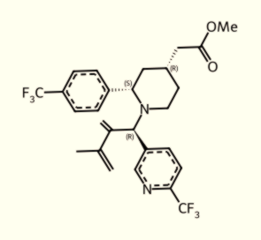 C=C(C)C(=C)[C@H](c1ccc(C(F)(F)F)nc1)N1CC[C@@H](CC(=O)OC)C[C@H]1c1ccc(C(F)(F)F)cc1